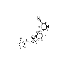 C[C@@H]1CCCN1CCc1cc2ccc(-c3cncc(C#N)c3)cc2o1